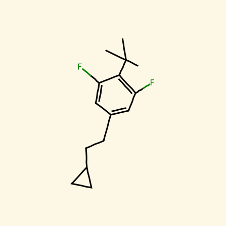 CC(C)(C)c1c(F)cc(CCC2CC2)cc1F